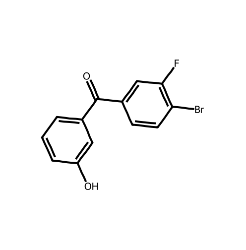 O=C(c1cccc(O)c1)c1ccc(Br)c(F)c1